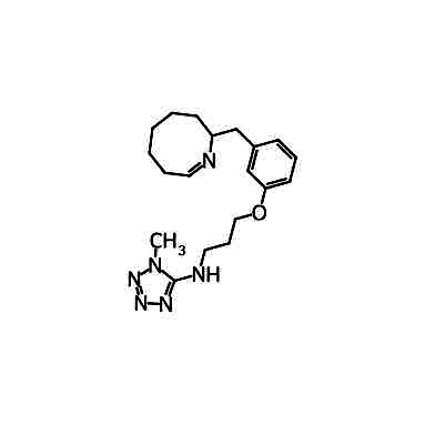 Cn1nnnc1NCCCOc1cccc(CC2CCCCCC=N2)c1